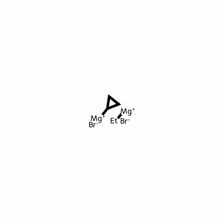 C[CH2][Mg+].[Br-].[Br-].[Mg+][CH]1CC1